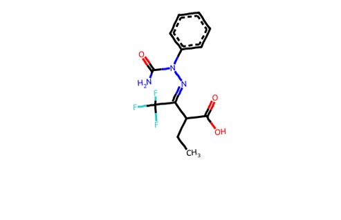 CCC(C(=O)O)C(=NN(C(N)=O)c1ccccc1)C(F)(F)F